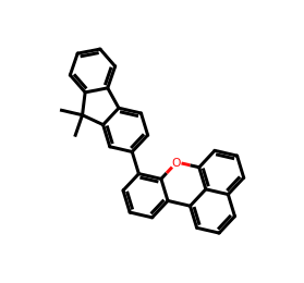 CC1(C)c2ccccc2-c2ccc(-c3cccc4c3Oc3cccc5cccc-4c35)cc21